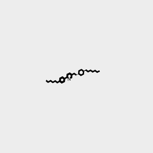 CCCCCCC[C@H]1CC[C@H](CCc2ccc(-c3ccc(CCCCCC)cc3)nc2)CC1